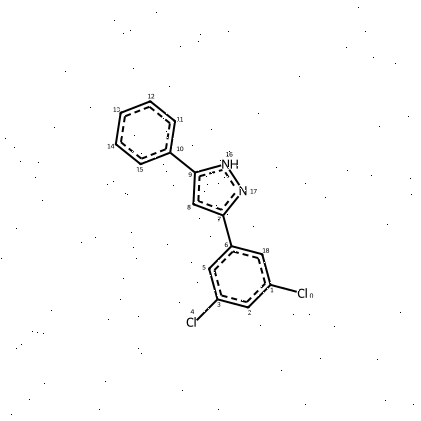 Clc1cc(Cl)cc(-c2cc(-c3ccccc3)[nH]n2)c1